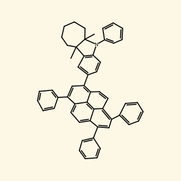 CC12CCCCCC1(C)N(c1ccccc1)c1ccc(-c3cc(-c4ccccc4)c4ccc5c(-c6ccccc6)cc(-c6ccccc6)c6ccc3c4c56)cc12